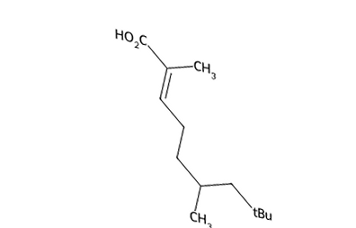 C/C(=C\CCC(C)CC(C)(C)C)C(=O)O